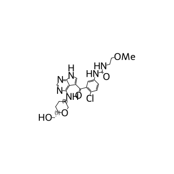 COCCNC(=O)Nc1ccc(Cl)c(C(=O)c2c[nH]c3ncnc(N[C@@H]4CC[C@@H](CO)OC4)c23)c1